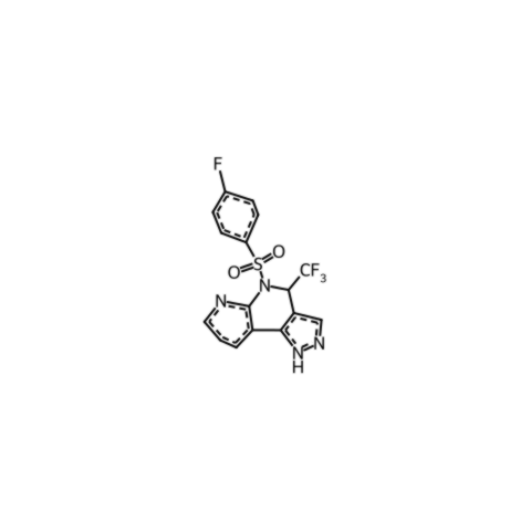 O=S(=O)(c1ccc(F)cc1)N1c2ncccc2-c2[nH]ncc2C1C(F)(F)F